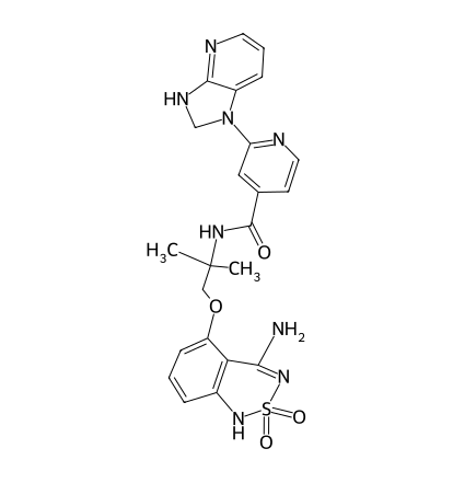 CC(C)(COc1cccc2c1C(N)=NS(=O)(=O)N2)NC(=O)c1ccnc(N2CNc3ncccc32)c1